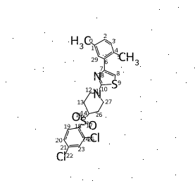 Cc1ccc(C)c(-c2csc(N3CCC(S(=O)(=O)c4ccc(Cl)cc4Cl)CC3)n2)c1